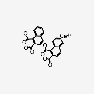 O=C([O-])c1ccc2ccccc2c1C(=O)[O-].O=C([O-])c1ccc2ccccc2c1C(=O)[O-].[Ge+4]